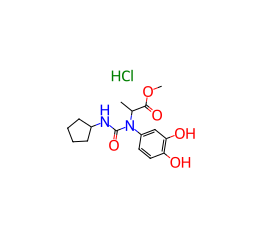 COC(=O)C(C)N(C(=O)NC1CCCC1)c1ccc(O)c(O)c1.Cl